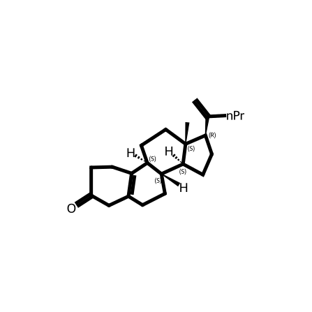 C=C(CCC)[C@H]1CC[C@H]2[C@@H]3CCC4=C(CCC(=O)C4)[C@H]3CC[C@]12C